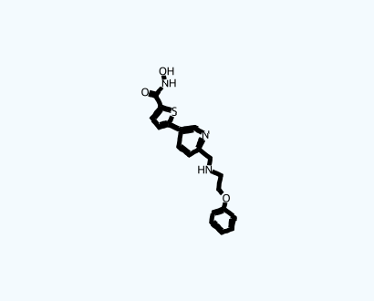 O=C(NO)c1ccc(-c2ccc(CNCCOc3ccccc3)nc2)s1